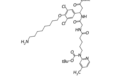 COC(=O)CC(NC(=O)CNC(=O)CCCCN(C(=O)OC(C)(C)C)c1cc(C)ccn1)c1cc(Cl)c(OCCCCCCCCN)c(Cl)c1